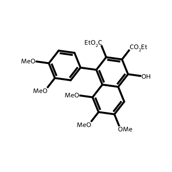 CCOC(=O)c1c(C(=O)OCC)c(-c2ccc(OC)c(OC)c2)c2c(OC)c(OC)c(OC)cc2c1O